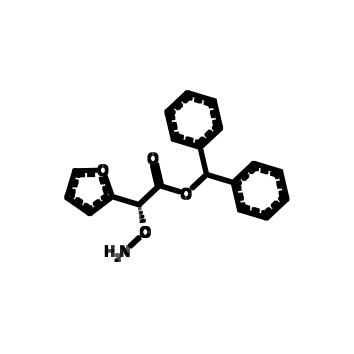 NO[C@@H](C(=O)OC(c1ccccc1)c1ccccc1)c1ccco1